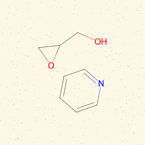 OCC1CO1.c1ccncc1